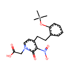 C[Si](C)(C)Oc1ccccc1CCc1ccn(CC(=O)O)c(=O)c1[N+](=O)[O-]